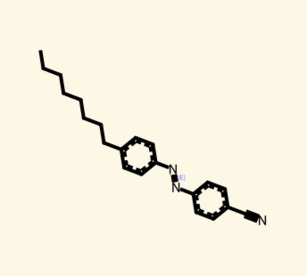 CCCCCCCCc1ccc(/N=N/c2ccc(C#N)cc2)cc1